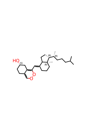 CC(C)CCC[C@@H](C)[C@H]1CCC2C(=CC3=C4C[C@@H](O)CCC4=COO3)CCC[C@@]21C